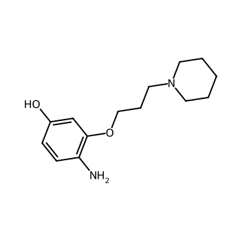 Nc1ccc(O)cc1OCCCN1CCCCC1